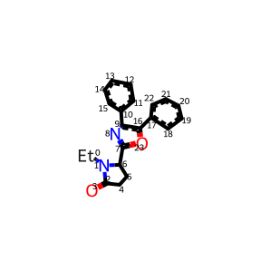 CCN1C(=O)CCC1c1nc(-c2ccccc2)c(-c2ccccc2)o1